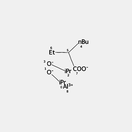 CC(C)[O-].CC(C)[O-].CCCCC(CC)C(=O)[O-].[Al+3]